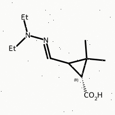 CCN(CC)N=CC1[C@@H](C(=O)O)C1(C)C